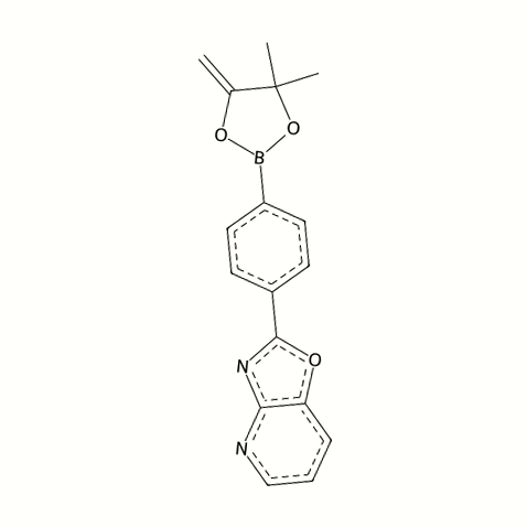 C=C1OB(c2ccc(-c3nc4ncccc4o3)cc2)OC1(C)C